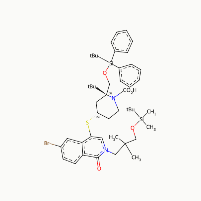 CC(C)(CO[Si](C)(C)C(C)(C)C)Cn1cc(S[C@H]2CCN(C(=O)O)[C@](CO[Si](c3ccccc3)(c3ccccc3)C(C)(C)C)(C(C)(C)C)C2)c2cc(Br)ccc2c1=O